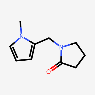 Cn1cccc1CN1CCCC1=O